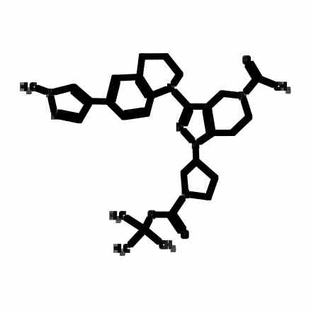 CC(=O)N1CCc2c(c(N3CCCc4cc(-c5cnn(C)c5)ccc43)nn2C2CCN(C(=O)OC(C)(C)C)C2)C1